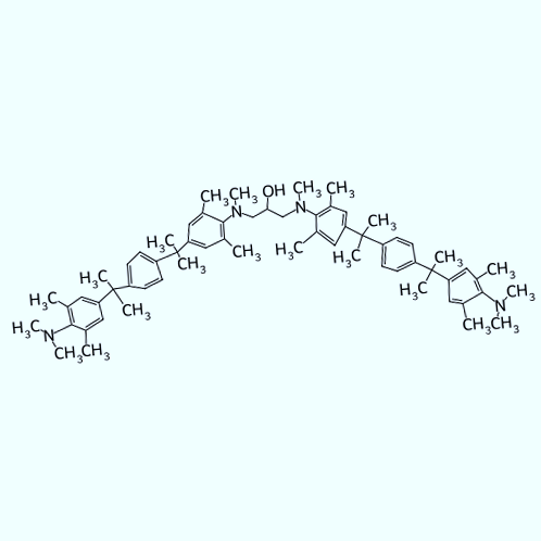 Cc1cc(C(C)(C)c2ccc(C(C)(C)c3cc(C)c(N(C)CC(O)CN(C)c4c(C)cc(C(C)(C)c5ccc(C(C)(C)c6cc(C)c(N(C)C)c(C)c6)cc5)cc4C)c(C)c3)cc2)cc(C)c1N(C)C